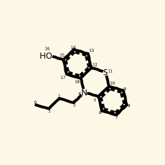 CCCCN1c2ccccc2Sc2ccc(O)cc21